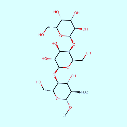 CCO[C@@H]1O[C@H](CO)[C@@H](O[C@@H]2O[C@H](CO)[C@H](O[C@H]3O[C@H](CO)[C@H](O)[C@H](O)[C@H]3O)[C@H](O)[C@H]2O)[C@H](O)[C@H]1NC(C)=O